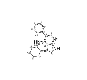 c1ccc(-c2cnc3[nH]ccc3c2NC2CCCCC2)cc1